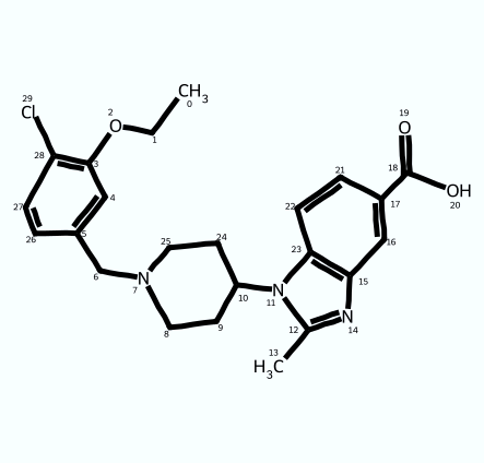 CCOc1cc(CN2CCC(n3c(C)nc4cc(C(=O)O)ccc43)CC2)ccc1Cl